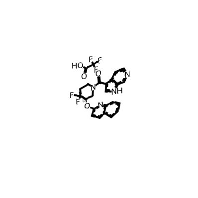 O=C(O)C(F)(F)F.O=C(c1c[nH]c2cnccc12)N1CCC(F)(F)[C@@H](Oc2ccc3ccccc3n2)C1